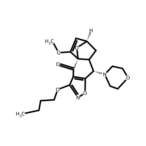 CCCCOc1noc2c1C(=O)[C@@]13O[C@@H](C=C1OC)CC3[C@@H]2N1CCOCC1